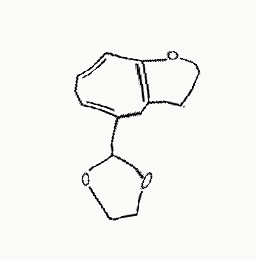 [CH]1COc2cccc(C3OCCO3)c21